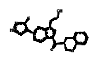 O=C(c1cn(CCO)c2cc(-c3c[nH]nc3Cl)ccc12)C1COc2ccccc2C1